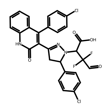 O=CC(F)(F)C(C(=O)O)N1N=C(c2c(-c3ccc(Cl)cc3)c3ccccc3[nH]c2=O)CC1c1ccc(Cl)cc1